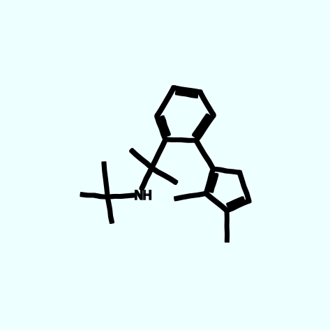 CC1=CCC(c2ccccc2C(C)(C)NC(C)(C)C)=C1C